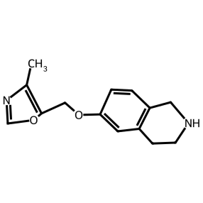 Cc1ncoc1COc1ccc2c(c1)CCNC2